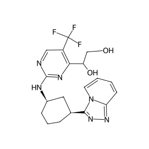 OCC(O)c1nc(N[C@@H]2CCC[C@H](c3nnc4ccccn34)C2)ncc1C(F)(F)F